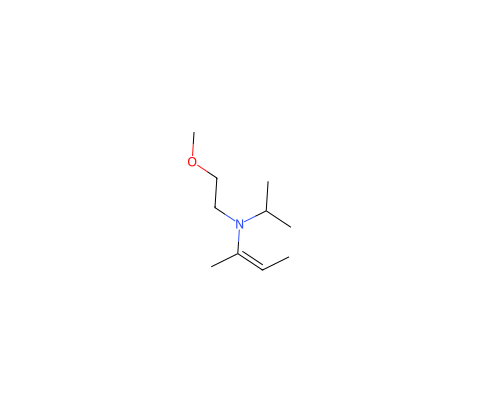 C/C=C(/C)N(CCOC)C(C)C